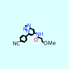 COCCC(=O)Nc1cc(-c2ccc(C#N)cc2)n2ncnc2c1